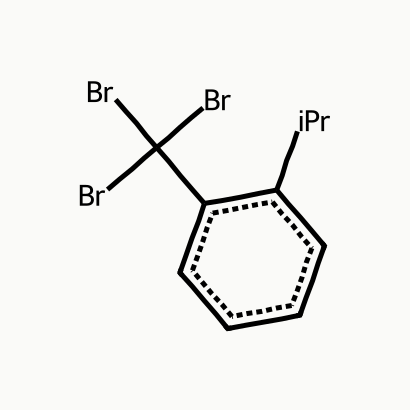 CC(C)c1ccccc1C(Br)(Br)Br